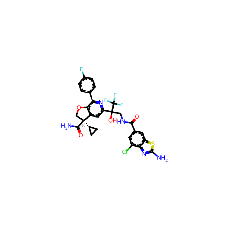 NC(=O)[C@@]1(C2CC2)COc2c1cc(C(O)(CNC(=O)c1cc(Cl)c3nc(N)sc3c1)C(F)(F)F)nc2-c1ccc(F)cc1